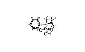 O=C(Cl)C(Cl)(c1ccccc1)S(=O)(=O)O